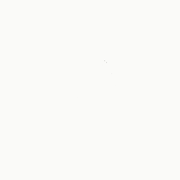 Cc1cccc(C(C)OCC(C)C(C)(C)N)c1